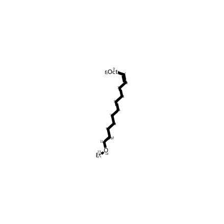 CCCCCCCC/C=C\CCCCCCCCCOCC